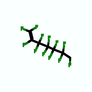 FCC(F)(F)C(F)(F)C(F)(F)C(F)(F)C(F)=C(F)F